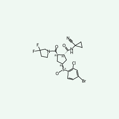 N#CC1(NC(=O)[C@@H]2C[C@@H]([S+]([O-])c3ccc(Br)cc3Cl)C[C@H]2C(=O)N2CCC(F)(F)C2)CC1